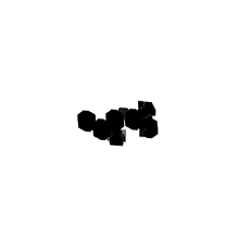 c1ccc(-c2ccc3c(c2)c2ccc(Oc4ccc5c(c4)c4nccn4c4cccnc54)cc2c2nccn32)cc1